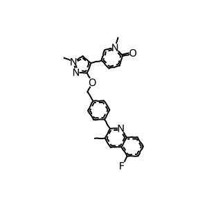 Cc1cc2c(F)cccc2nc1-c1ccc(COc2nn(C)cc2-c2ccc(=O)n(C)c2)cc1